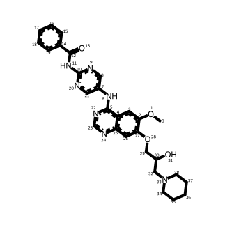 COc1cc2c(Nc3cnc(NC(=O)c4ccccc4)nc3)ncnc2cc1OCC(O)CN1CCCCC1